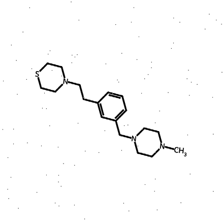 CN1CCN(Cc2cccc(CCN3CCSCC3)c2)CC1